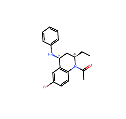 CC[C@@H]1C[C@H](Nc2ccccc2)c2cc(Br)ccc2N1C(C)=O